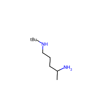 CC(N)CCCNC(C)(C)C